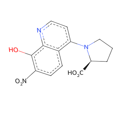 O=C(O)[C@@H]1CCCN1c1ccnc2c(O)c([N+](=O)[O-])ccc12